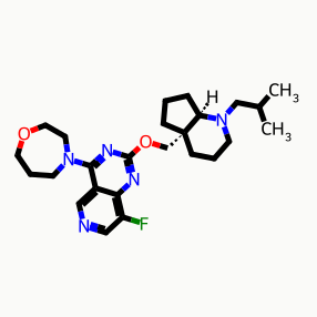 CC(C)CN1CCC[C@@]2(COc3nc(N4CCCOCC4)c4cncc(F)c4n3)CCC[C@@H]12